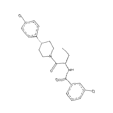 CCC(NC(=O)c1cccc(Cl)c1)C(=O)N1CCC(c2ccc(Cl)cc2)CC1